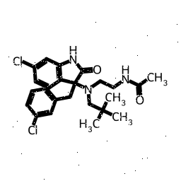 CC(=O)NCCN(CC(C)(C)C)C1(Cc2cccc(Cl)c2)C(=O)Nc2cc(Cl)ccc21